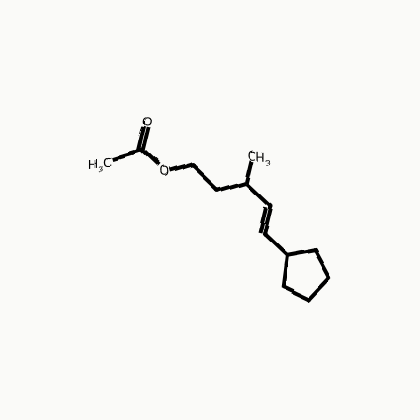 CC(=O)OCCC(C)C=CC1CCCC1